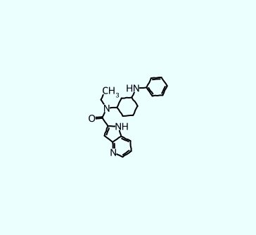 CCN(C(=O)c1cc2ncccc2[nH]1)C1CCCC(Nc2ccccc2)C1